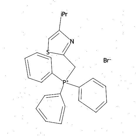 CC(C)c1csc(C[P+](c2ccccc2)(c2ccccc2)c2ccccc2)n1.[Br-]